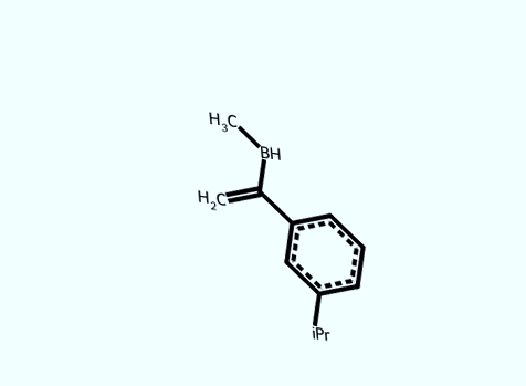 C=C(BC)c1cccc(C(C)C)c1